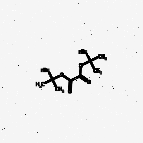 CCCCC(C)(C)OC(=O)C(=O)OC(C)(C)CCCC